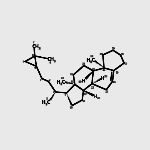 C[C@H](CCC1CC1(C)C)[C@H]1CC[C@H]2[C@@H]3CC=C4CCCC[C@]4(C)[C@H]3CC[C@]12C